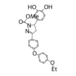 CCOc1ccc(Oc2ccc(C3=NN(C(=O)OC)C(c4ccc(O)c(O)c4)C3)cc2)cc1